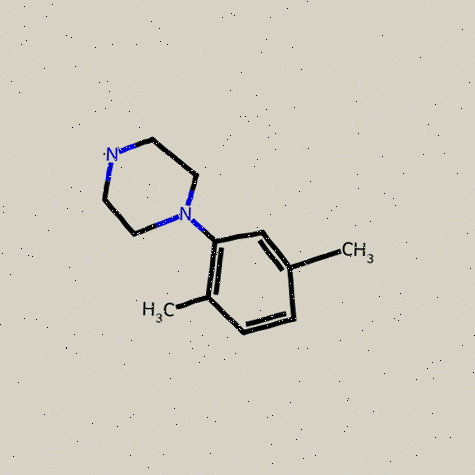 Cc1ccc(C)c(N2CC[N]CC2)c1